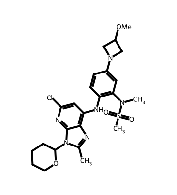 COC1CN(c2ccc(Nc3cc(Cl)nc4c3nc(C)n4C3CCCCO3)c(N(C)S(C)(=O)=O)c2)C1